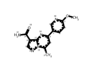 COc1ccc(-c2cc(C)n3ncc(C(N)=O)c3n2)cn1